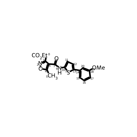 CCOC(=O)c1noc(C)c1C(=O)Nc1ccc(-c2cccc(OC)c2)s1